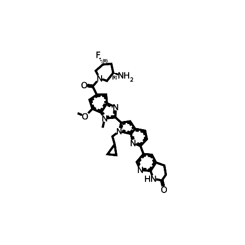 COc1cc(C(=O)N2C[C@H](N)C[C@@H](F)C2)cc2nc(-c3cc4ccc(-c5cnc6c(c5)CCC(=O)N6)nc4n3CC3CC3)n(C)c12